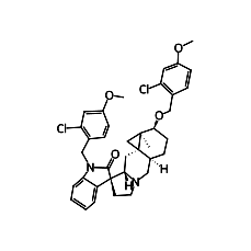 COc1ccc(CO[C@H]2CC[C@H]3CN4CC[C@@]5(C(=O)N(Cc6ccc(OC)cc6Cl)c6ccccc65)[C@@H]4C[C@@]34C[C@@]24C)c(Cl)c1